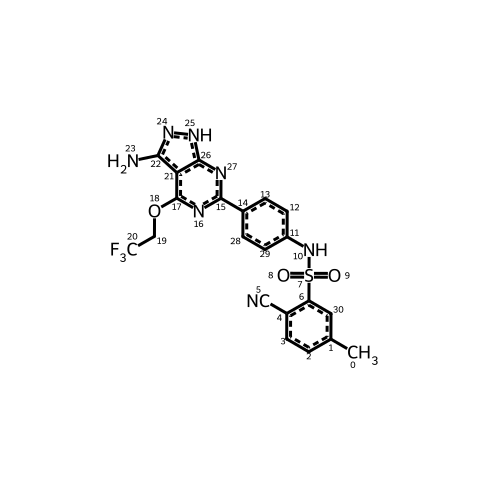 Cc1ccc(C#N)c(S(=O)(=O)Nc2ccc(-c3nc(OCC(F)(F)F)c4c(N)n[nH]c4n3)cc2)c1